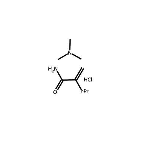 C=C(CCC)C(N)=O.CN(C)C.Cl